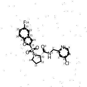 O=C(NCc1cc(Cl)ccn1)[C@@H]1CCCN1S(=O)(=O)c1cc2cc(F)ccc2o1